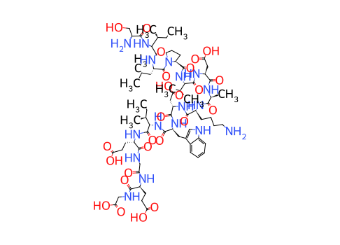 CC[C@H](C)[C@H](NC(=O)[C@H](Cc1c[nH]c2ccccc12)NC(=O)[C@H](CC(=O)O)NC(=O)[C@H](CCCCN)NC(=O)[C@H](C)NC(=O)[C@H](CC(=O)O)NC(=O)[C@@H](NC(=O)[C@@H]1CCCN1C(=O)[C@H](CC(C)C)NC(=O)[C@@H](NC(=O)[C@@H](N)CO)[C@@H](C)CC)C(C)C)C(=O)N[C@@H](CCC(=O)O)C(=O)NCC(=O)N[C@@H](CCC(=O)O)C(=O)NCC(=O)O